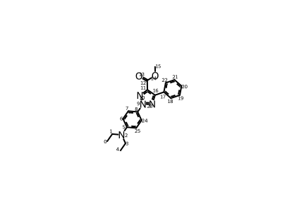 CCN(CC)c1ccc(-n2nc(C(=O)OC)c(-c3ccccc3)n2)cc1